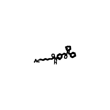 CC(=O)CCCCCCC(=O)Nc1ccc(CC(=O)N(c2ccccc2)c2ccccc2)cc1